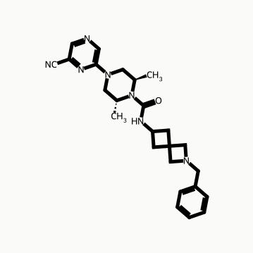 C[C@@H]1CN(c2cncc(C#N)n2)C[C@@H](C)N1C(=O)NC1CC2(C1)CN(Cc1ccccc1)C2